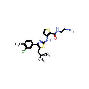 Cc1ccc(-c2nc(Nc3ccsc3C(=O)NCCN)sc2CC(C)C)cc1Cl